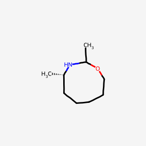 CC1N[C@@H](C)CCCCCO1